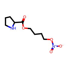 O=C(OCCCCO[N+](=O)[O-])C1CCCN1